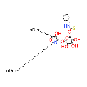 CCCCCCCCCCCCCCCCCCCCCCCCCCN[C@@H](CO[C@H]1O[C@H](COC(=S)NCc2ccccc2)[C@H](O)[C@H](O)[C@H]1O)[C@H](O)[C@H](O)CCCCCCCCCCCCCC